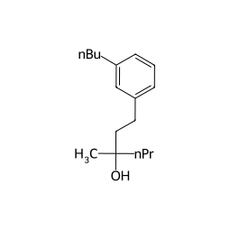 CCCCc1cccc(CCC(C)(O)CCC)c1